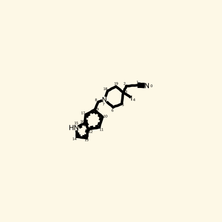 N#CCC1(I)CCN(Cc2ccc3cc[nH]c3c2)CC1